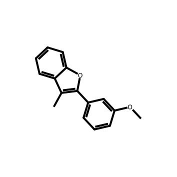 COc1cccc(-c2oc3ccccc3c2C)c1